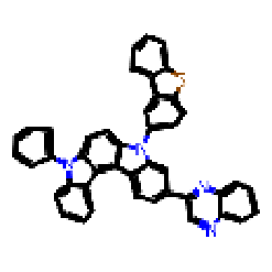 c1ccc(-n2c3ccccc3c3c4c5ccc(-c6cnc7ccccc7n6)cc5n(-c5ccc6sc7ccccc7c6c5)c4ccc32)cc1